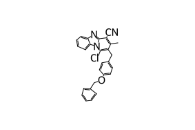 Cc1c(Cc2ccc(OCc3ccccc3)cc2)c(Cl)n2c(nc3ccccc32)c1C#N